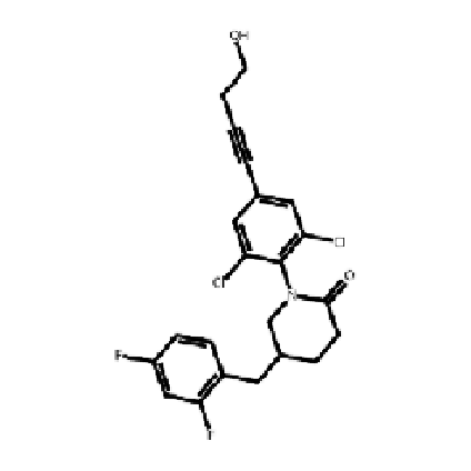 O=C1CCC(Cc2ccc(F)cc2F)CN1c1c(Cl)cc(C#CCCO)cc1Cl